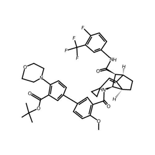 COc1ccc(-c2ccc(N3CCOCC3)c(C(=O)OC(C)(C)C)c2)cc1C(=O)N[C@H]1[C@@H](C(=O)Nc2ccc(F)c(C(F)(F)F)c2)[C@H]2CC[C@@H]1/C2=C\C1CC1